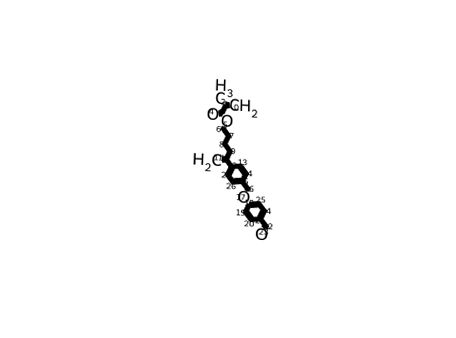 C=C(C)C(=O)OCCCCC(=C)c1ccc(COc2ccc(C=O)cc2)cc1